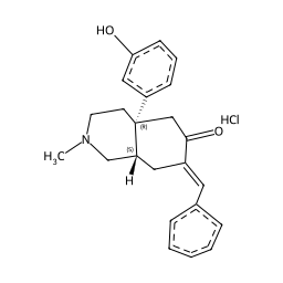 CN1CC[C@@]2(c3cccc(O)c3)CC(=O)C(=Cc3ccccc3)C[C@@H]2C1.Cl